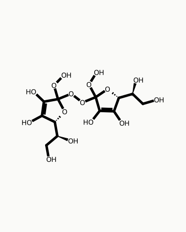 OC[C@H](O)[C@H]1OC(OO)(OOC2(OO)O[C@H]([C@@H](O)CO)C(O)=C2O)C(O)=C1O